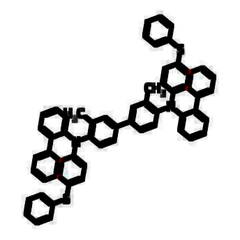 Cc1cc(-c2ccc(N(c3ccc(Sc4ccccc4)cc3)c3ccccc3-c3ccccc3)c(C)c2)ccc1N(c1ccc(Sc2ccccc2)cc1)c1ccccc1-c1ccccc1